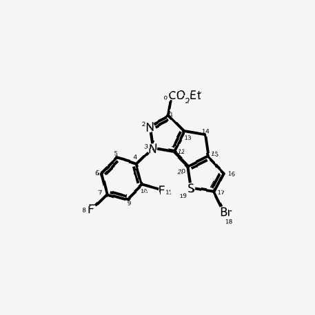 CCOC(=O)c1nn(-c2ccc(F)cc2F)c2c1Cc1cc(Br)sc1-2